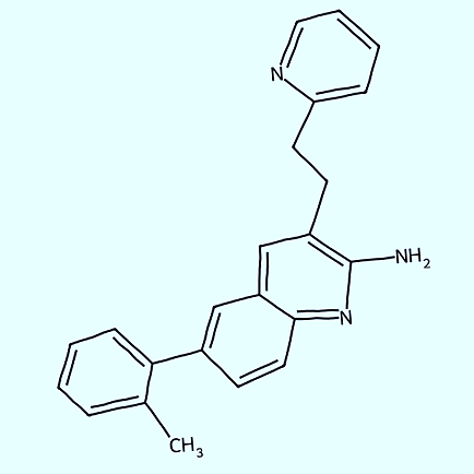 Cc1ccccc1-c1ccc2nc(N)c(CCc3ccccn3)cc2c1